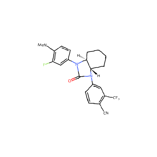 CNc1ccc(N2C(=O)N(c3ccc(C#N)c(C(F)(F)F)c3)[C@H]3CCCC[C@@H]32)cc1F